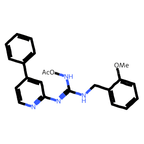 COc1ccccc1CNC(=Nc1cc(-c2ccccc2)ccn1)NOC(C)=O